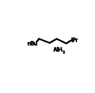 CCCCCCCCC(C)C.[AlH3]